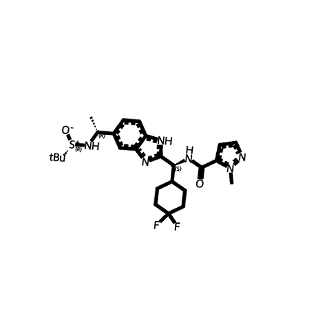 C[C@@H](N[S@@+]([O-])C(C)(C)C)c1ccc2[nH]c([C@@H](NC(=O)c3ccnn3C)C3CCC(F)(F)CC3)nc2c1